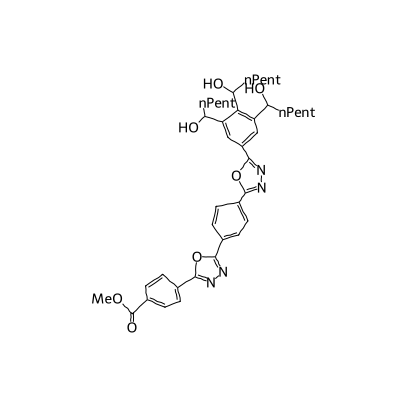 CCCCCC(O)c1cc(-c2nnc(-c3ccc(-c4nnc(-c5ccc(C(=O)OC)cc5)o4)cc3)o2)cc(C(O)CCCCC)c1C(O)CCCCC